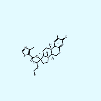 CC1=C[C@@]2(C)C(=CC1=O)CC[C@@H]1[C@@H]2CC[C@@]2(C)[C@H]1CC[C@]2(OC(=O)c1scnc1C)C(=O)SCF